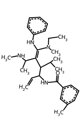 C=CC(NC(=O)c1cccc(C)c1)C(/C(=C(/Nc1ccccc1)N(C)CC)C(C)NC)C(C)C